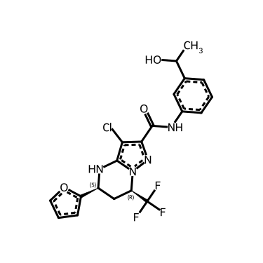 CC(O)c1cccc(NC(=O)c2nn3c(c2Cl)N[C@H](c2ccco2)C[C@@H]3C(F)(F)F)c1